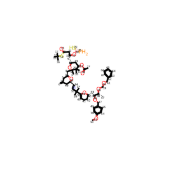 C=C1C[C@@H](CC2(C)O[C@H](C[C@H](CC(=O)SC(C)(C)C)OB(P)S)C[C@H](OC(C)=O)C2(C)C)O[C@@H](/C=C/C(C)(C)C2=CCC[C@@H](C[C@@H](OCc3ccc(OC)cc3)[C@@H](C)OCOCc3ccccc3)O2)C1